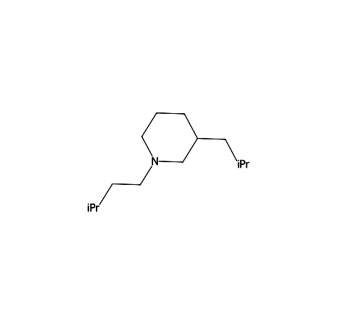 CC(C)CCN1CCCC(CC(C)C)C1